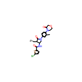 Cc1cc(N2CC(NC(=O)c3ccc(Br)s3)C(CC(C)C)C2=O)ccc1N1CCOCC1=O